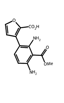 COC(=O)c1c(N)ccc(-c2ccoc2C(=O)O)c1N